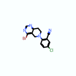 N#Cc1cc(Cl)ccc1N1CCc2ncnc(Br)c2C1